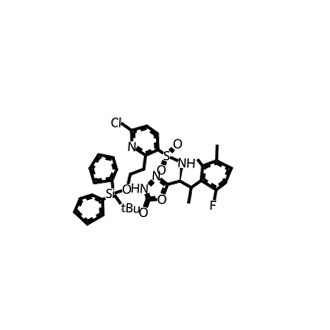 Cc1ccc(F)c(C(C)[C@H](NS(=O)(=O)c2ccc(Cl)nc2CCO[Si](c2ccccc2)(c2ccccc2)C(C)(C)C)c2n[nH]c(=O)o2)c1C